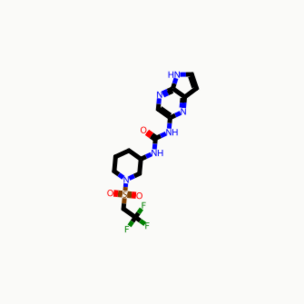 O=C(Nc1cnc2[nH]ccc2n1)NC1CCCN(S(=O)(=O)CC(F)(F)F)C1